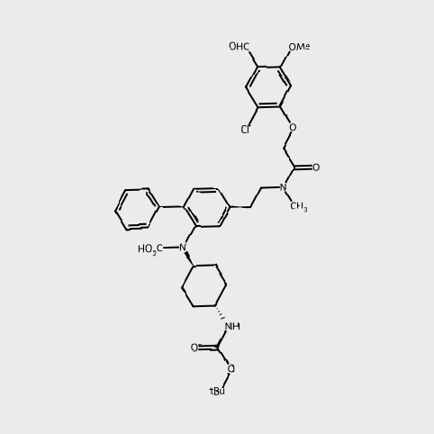 COc1cc(OCC(=O)N(C)CCc2ccc(-c3ccccc3)c(N(C(=O)O)[C@H]3CC[C@H](NC(=O)OC(C)(C)C)CC3)c2)c(Cl)cc1C=O